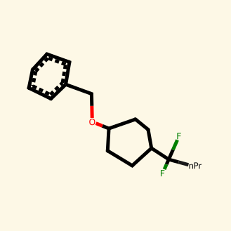 CCCC(F)(F)C1CCC(OCc2ccccc2)CC1